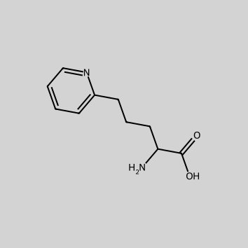 NC(CCCc1ccccn1)C(=O)O